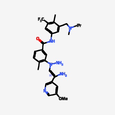 COc1cncc(/C(N)=C/N(N)c2cc(C(=O)Nc3cc(CN(C)C(C)C)c(C)c(C(F)(F)F)c3)ccc2C)c1